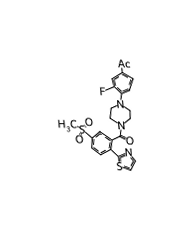 CC(=O)c1ccc(N2CCN(C(=O)c3cc(S(C)(=O)=O)ccc3-c3nccs3)CC2)c(F)c1